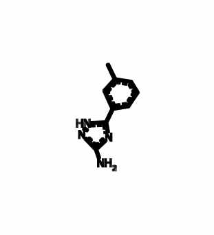 Cc1cccc(-c2nc(N)n[nH]2)c1